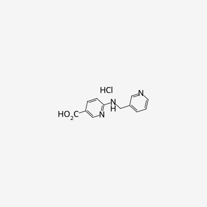 Cl.O=C(O)c1ccc(NCc2cccnc2)nc1